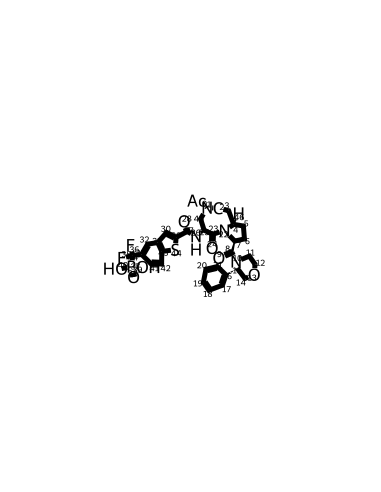 CC(=O)N1CC[C@H]2CC[C@@H](C(=O)N3CCOC[C@@H]3c3ccccc3)N2C(=O)[C@@H](NC(=O)c2cc3cc(C(F)(F)P(=O)(O)O)ccc3s2)C1